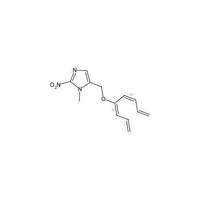 C=C/C=C\C(=C/C=C)OCc1cnc([N+](=O)[O-])n1C